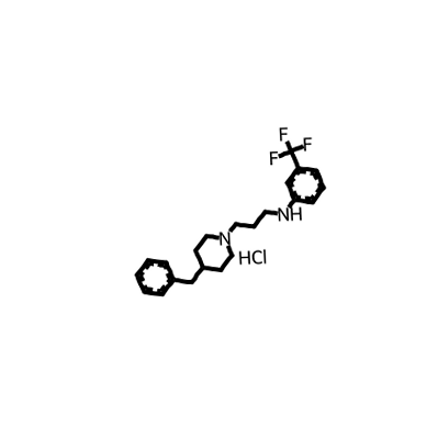 Cl.FC(F)(F)c1cccc(NCCCN2CCC(Cc3ccccc3)CC2)c1